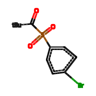 CC(C)(C)C(=O)S(=O)(=O)c1ccc(Br)cc1